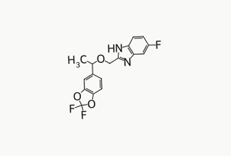 CC(OCc1nc2cc(F)ccc2[nH]1)c1ccc2c(c1)OC(F)(F)O2